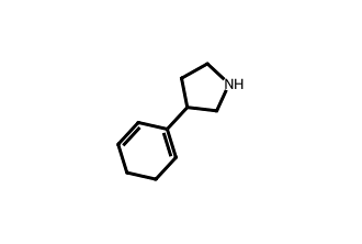 C1=CC(C2CCNC2)=CCC1